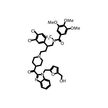 COc1cc(C(=O)N(C)CC(CCN2CCC(C(=O)c3nc4ccccc4n3Cc3ccc(CO)o3)CC2)c2ccc(Cl)c(Cl)c2)cc(OC)c1OC